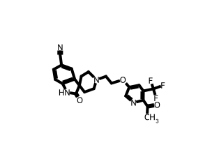 CC(=O)c1ncc(OCCN2CCC3(CC2)C(=O)Nc2ccc(C#N)cc23)cc1C(F)(F)F